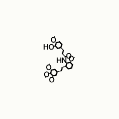 COc1ccc(/C=C/C(=O)Nc2c(C=Cc3cc(OC)c(OC)c(OC)c3)cccc2OC)cc1O